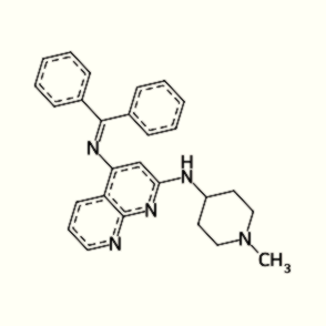 CN1CCC(Nc2cc(N=C(c3ccccc3)c3ccccc3)c3cccnc3n2)CC1